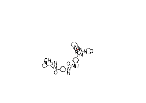 CN1CCCC1CCNC(=O)c1ccc(NC(=O)Nc2ccc(-c3nc(N4CCOCC4)nc(N4C5CCCC4COC5)n3)cc2)cc1